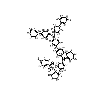 Cc1ccc(S(=O)(=O)n2c3ccccc3c3ccc(-n4c5ccccc5c5cc(-c6ccc(N(c7ccc(-c8ccccc8)cc7)c7ccc(-c8ccccc8)cc7)cc6)ccc54)cc32)cc1